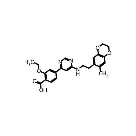 CCOc1cc(-c2cc(NCCc3cc4c(cc3C)OCCO4)ncn2)ccc1C(=O)O